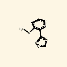 COc1ccccc1-c1ncon1